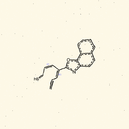 B=C/C=C\C(=C/C=C)c1nc2ccc3ccccc3c2o1